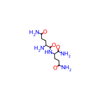 NC(=O)CCC(N)C(=O)NC(CCC(N)=O)C(N)=O